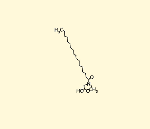 CCCCCCCCC=CCCCCCCCC(=O)N(CC)CC(=O)O